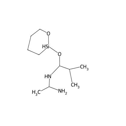 CC(N)NC(O[SiH]1CCCCO1)C(C)C